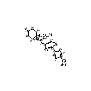 CCOc1ccc(-c2nc(CC(=O)NC3(C(=O)O)CCC(C)CC3)cs2)cc1